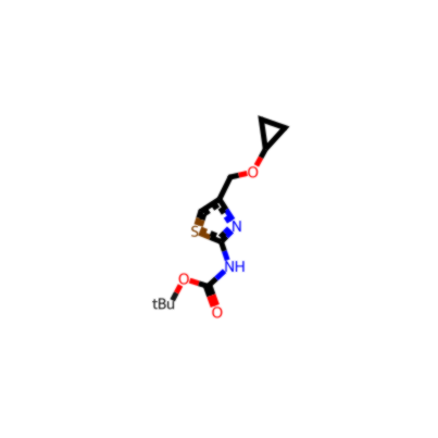 CC(C)(C)OC(=O)Nc1nc(COC2CC2)cs1